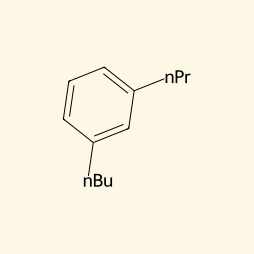 [CH2]CCCc1cccc(CCC)c1